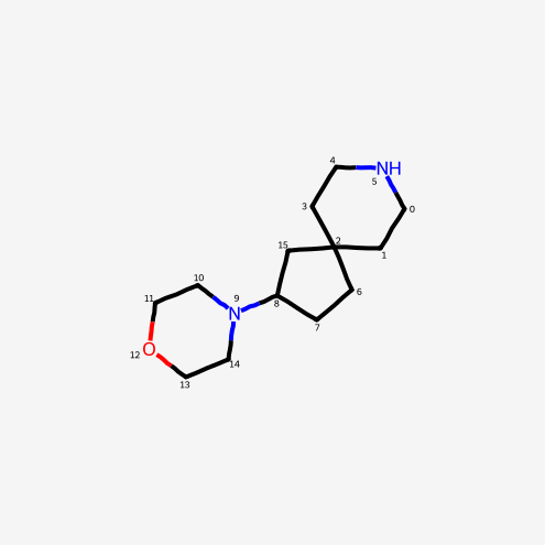 C1CC2(CCN1)CCC(N1CCOCC1)C2